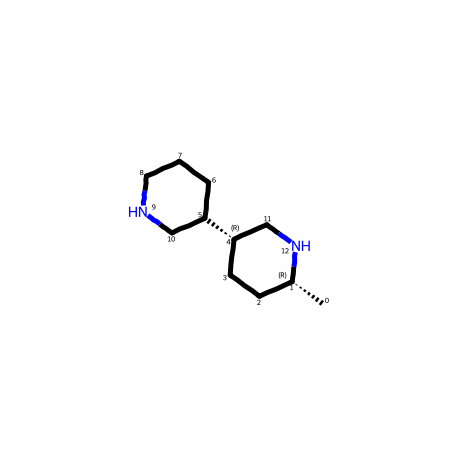 C[C@@H]1CC[C@H](C2CCCNC2)CN1